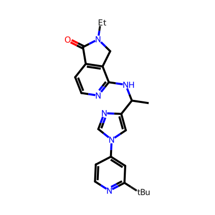 CCN1Cc2c(ccnc2NC(C)c2cn(-c3ccnc(C(C)(C)C)c3)cn2)C1=O